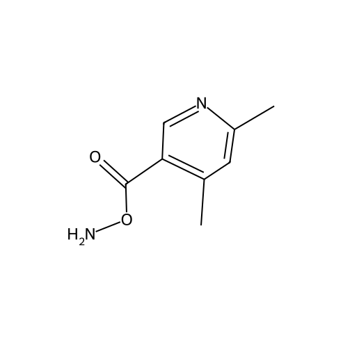 Cc1cc(C)c(C(=O)ON)cn1